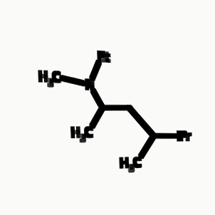 CCN(C)C(C)CC(C)C(C)C